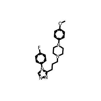 COc1ccc(N2CCN(CCCc3nncn3-c3ccc(F)cc3)CC2)cc1